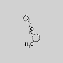 CC1CCCCC(=NOCCN2CCCC2)C1